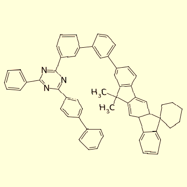 CC1(C)C2=CC3c4ccccc4C4(CCCCC4)C3C=C2c2ccc(-c3cccc(-c4cccc(-c5nc(-c6ccccc6)nc(-c6ccc(-c7ccccc7)cc6)n5)c4)c3)cc21